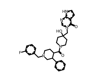 O=C(C1CCN(Cc2cccc(F)c2)CC1c1ccccc1)N1CCC(O)(Cn2cnc3[nH]ccc3c2=O)CC1